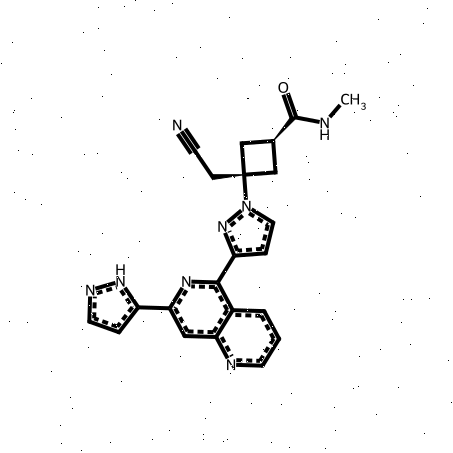 CNC(=O)[C@H]1C[C@](CC#N)(n2ccc(-c3nc(-c4ccn[nH]4)cc4ncccc34)n2)C1